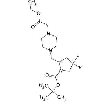 CCOC(=O)CN1CCN(CC2CC(F)(F)CN2C(=O)OC(C)(C)C)CC1